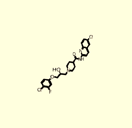 O=C(Nc1ccc2cc(Cl)ccc2n1)C1CCN(C[C@H](O)COc2ccc(Cl)c(F)c2)CC1